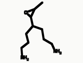 CC1OC1C(CCCN)CCCN